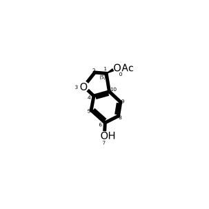 CC(=O)O[C@@H]1COc2cc(O)ccc21